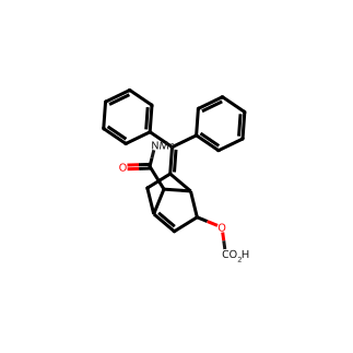 CNC(=O)C1C2=CC(OC(=O)O)C1C(=C(c1ccccc1)c1ccccc1)C2